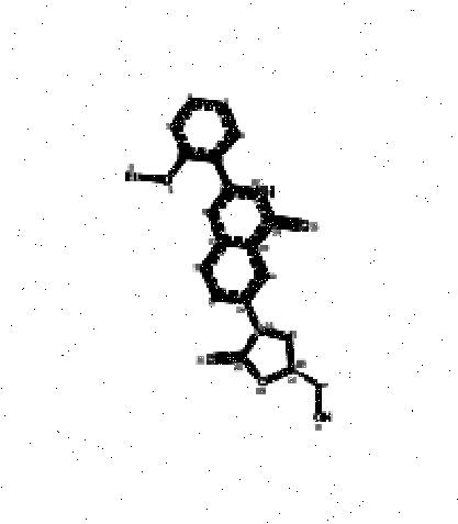 CCOc1ccccc1-c1cc2ccc(N3C[C@H](CO)OC3=O)cc2c(=O)[nH]1